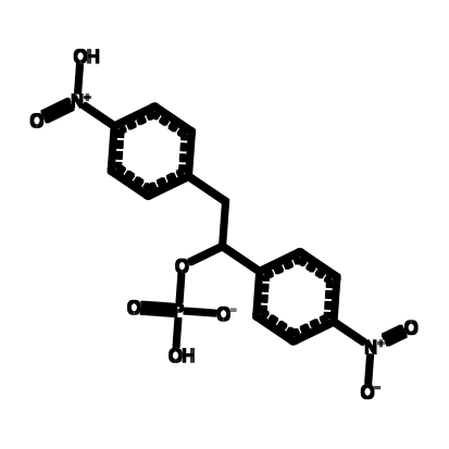 O=[N+]([O-])c1ccc(C(Cc2ccc([N+](=O)O)cc2)OP(=O)([O-])O)cc1